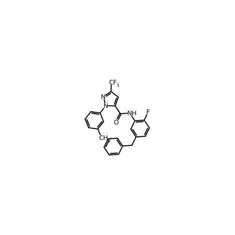 [CH2]c1cccc(-n2nc(C(F)(F)F)cc2C(=O)Nc2cc(Cc3ccccc3)ccc2F)c1